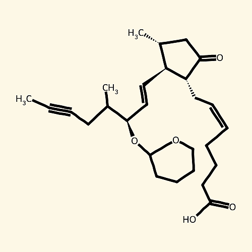 CC#CCC(C)[C@@H](/C=C/[C@H]1[C@H](C)CC(=O)[C@@H]1C/C=C\CCCC(=O)O)OC1CCCCO1